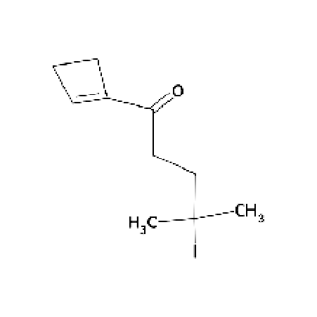 CC(C)(I)CCC(=O)C1=CCC1